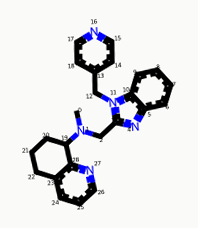 CN(Cc1nc2ccccc2n1Cc1ccncc1)C1CCCc2cccnc21